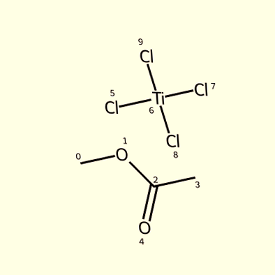 COC(C)=O.[Cl][Ti]([Cl])([Cl])[Cl]